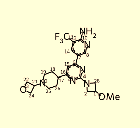 COC1CN(c2nc(-c3cnc(N)c(C(F)(F)F)c3)cc(C3CCN(C4COC4)CC3)n2)C1